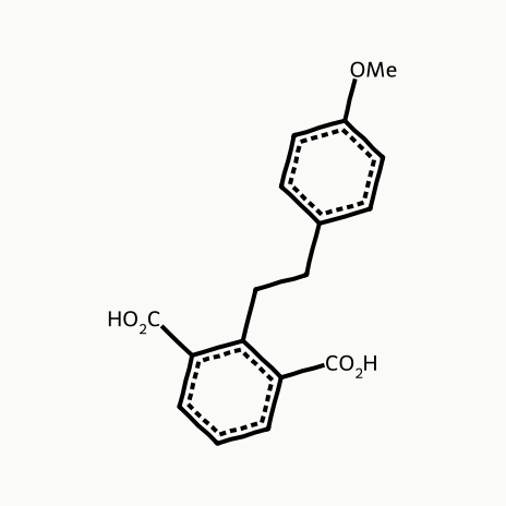 COc1ccc(CCc2c(C(=O)O)cccc2C(=O)O)cc1